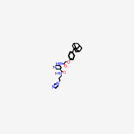 O=C(COc1ccc(C23CC4CC(CC(C4)C2)C3)cc1)Nc1cncc(C(=O)NCCCn2ccnc2)c1